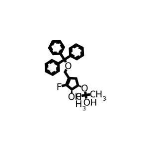 CC(C)(O)O[C@@H]1CC(COC(c2ccccc2)(c2ccccc2)c2ccccc2)=C(F)[C@@H]1O